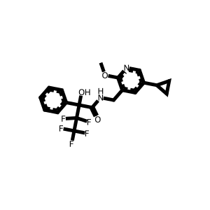 COc1ncc(C2CC2)cc1CNC(=O)C(O)(c1ccccc1)C(F)(F)C(F)(F)F